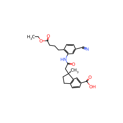 CCOC(=O)CCCc1ccc(C#N)cc1NC(=O)C[C@@]1(C)CCc2ccc(C(=O)O)cc21